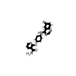 NC(=O)c1cccnc1O[C@H]1CC[C@H](Nc2ncnc3ccc(F)cc23)CC1